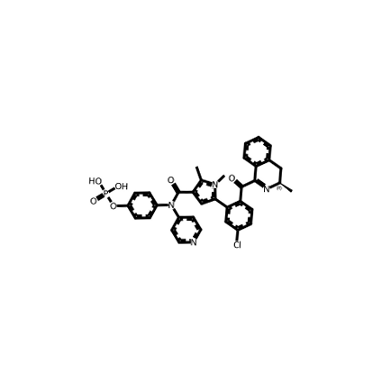 Cc1c(C(=O)N(c2ccncc2)c2ccc(OP(=O)(O)O)cc2)cc(-c2cc(Cl)ccc2C(=O)C2=N[C@H](C)Cc3ccccc32)n1C